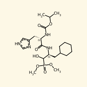 COP(=O)(OC)C(O)[C@H](CC1CCCCC1)NC(=O)[C@H](Cc1c[nH]cn1)NC(=O)OC(C)C